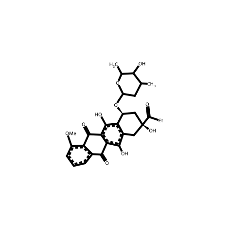 CCC(=O)[C@]1(O)Cc2c(O)c3c(c(O)c2[C@@H](OC2CC(C)C(O)C(C)O2)C1)C(=O)c1c(OC)cccc1C3=O